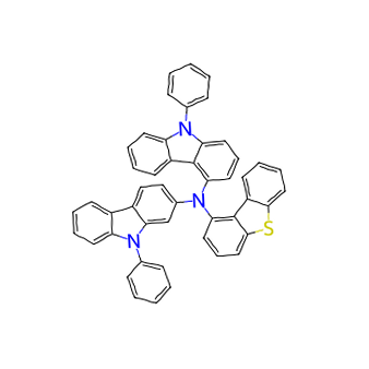 c1ccc(-n2c3ccccc3c3ccc(N(c4cccc5sc6ccccc6c45)c4cccc5c4c4ccccc4n5-c4ccccc4)cc32)cc1